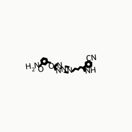 N#Cc1ccc2[nH]cc(CCCCN3CCN(c4ncc(OCc5cccc(C(N)=O)c5)cn4)CC3)c2c1